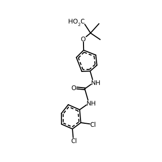 CC(C)(Oc1ccc(NC(=O)Nc2cccc(Cl)c2Cl)cc1)C(=O)O